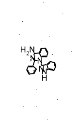 NC1N=C(c2ccccc2)N(c2n[nH]c3ccccc23)c2ccccc21